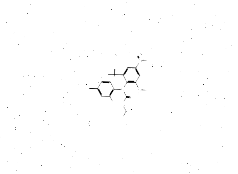 CCOC(=O)N(c1ccc(Cl)cc1Cl)c1c([N+](=O)[O-])cc([N+](=O)[O-])cc1C(F)(F)F